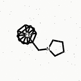 C1CCN(C[C]23[CH]4[CH]5[CH]6[CH]2[Fe]56432789[CH]3[CH]2[CH]7[CH]8[CH]39)C1